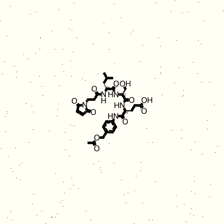 CC(=O)OCc1ccc(NC(=O)[C@H](CCC(=O)O)NC(=O)[C@H](CO)NC(=O)[C@@H](CC(C)C)NC(=O)CCN2C(=O)C=CC2=O)cc1